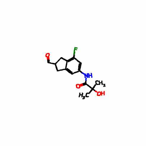 CC(C)(O)C(=O)Nc1cc(F)c2c(c1)CC(C=O)C2